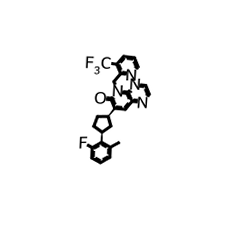 Cc1cccc(F)c1[C@H]1CC[C@@H](c2cc3nccnc3n(Cc3ncccc3C(F)(F)F)c2=O)C1